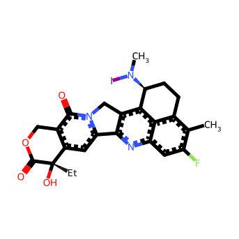 CC[C@@]1(O)C(=O)OCc2c1cc1n(c2=O)Cc2c-1nc1cc(F)c(C)c3c1c2[C@@H](N(C)I)CC3